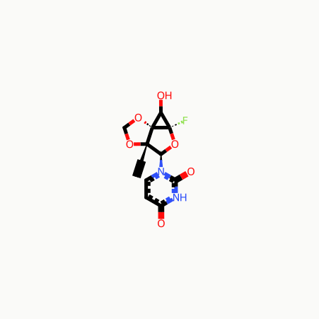 C#C[C@@]12OCO[C@@]13C(O)[C@@]3(F)O[C@H]2n1ccc(=O)[nH]c1=O